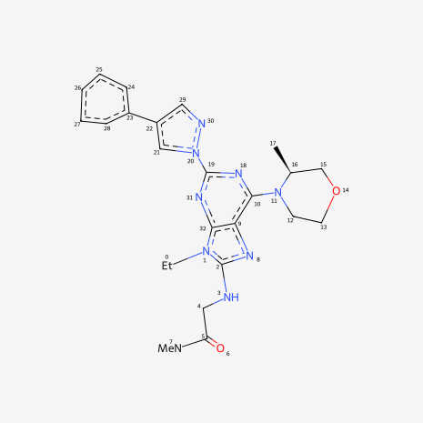 CCn1c(NCC(=O)NC)nc2c(N3CCOC[C@@H]3C)nc(-n3cc(-c4ccccc4)cn3)nc21